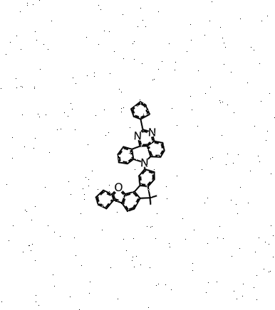 CC1(C)c2ccc(N3c4ccccc4-c4nc(-c5ccccc5)nc5cccc3c45)cc2-c2c1ccc1c2oc2ccccc21